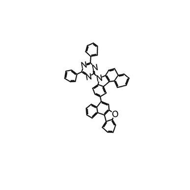 c1ccc(-c2nc(-c3ccccc3)nc(-n3c4ccc(-c5cc6oc7ccccc7c6c6ccccc56)cc4c4c5ccccc5ccc43)n2)cc1